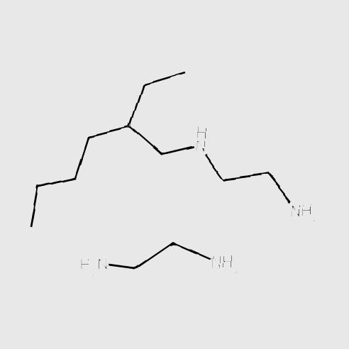 CCCCC(CC)CNCCN.NCCN